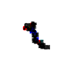 COC(=O)c1cc2nc(CN3CCC(c4cccc(OCc5ccc(C#N)cc5F)n4)CC3)n(C[C@@H]3CCO3)c2s1